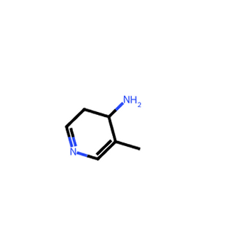 CC1=CN=CCC1N